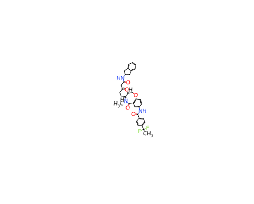 CN1C(=O)c2cc(NC(=O)c3ccc(C(C)(F)F)cc3)ccc2OC[C@@H]2O[C@H](CC(=O)NC3Cc4ccccc4C3)CC[C@@H]21